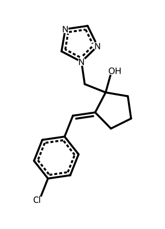 OC1(Cn2cncn2)CCCC1=Cc1ccc(Cl)cc1